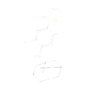 NS(=O)(=O)c1c(F)c(F)c(NC23CC4CC(CC(C4)C2)C3)c(F)c1F